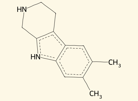 Cc1cc2[nH]c3c(c2cc1C)CCNC3